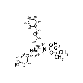 CC(C)(C)OC(=O)N1Cc2cc(-c3ccc(F)cc3)nn2[C@H](CCOCc2ccccc2)C1